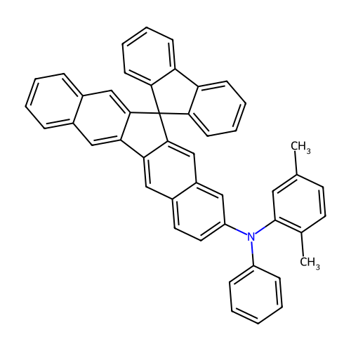 Cc1ccc(C)c(N(c2ccccc2)c2ccc3cc4c(cc3c2)C2(c3ccccc3-c3ccccc32)c2cc3ccccc3cc2-4)c1